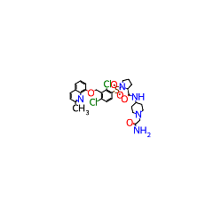 Cc1ccc2cccc(OCc3c(Cl)ccc(S(=O)(=O)N4CCC[C@H]4C(=O)NC4CCN(CC(N)=O)CC4)c3Cl)c2n1